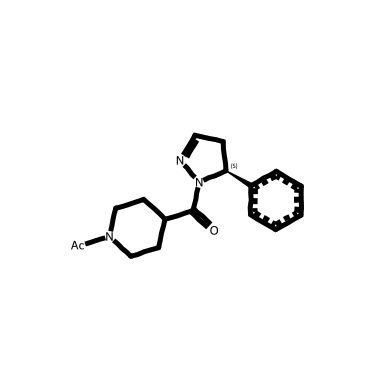 CC(=O)N1CCC(C(=O)N2N=CC[C@H]2c2ccccc2)CC1